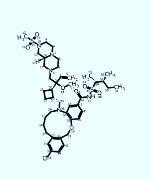 C=CC(CN1CCN2CCN(S(C)(=O)=O)C[C@H]2C1)(OC)[C@@H]1CC[C@H]1CN1CCCCc2cc(Cl)ccc2COc2ccc(C(=O)NS(=O)(=O)[C@H](C)[C@@H](C)CC)cc21